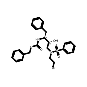 CC(C)CCN(C[C@@H](O)[C@H](Cc1ccccc1)NC(=O)OCc1ccccc1)S(=O)(=O)c1ccccc1